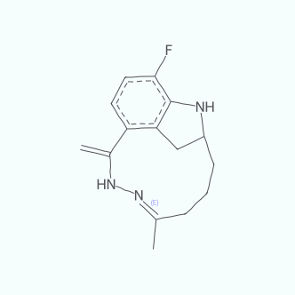 C=C1N/N=C(\C)CCCC2Cc3c1ccc(F)c3N2